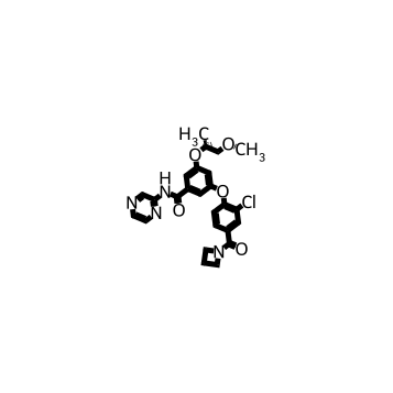 COC[C@H](C)Oc1cc(Oc2ccc(C(=O)N3CCC3)cc2Cl)cc(C(=O)Nc2cnccn2)c1